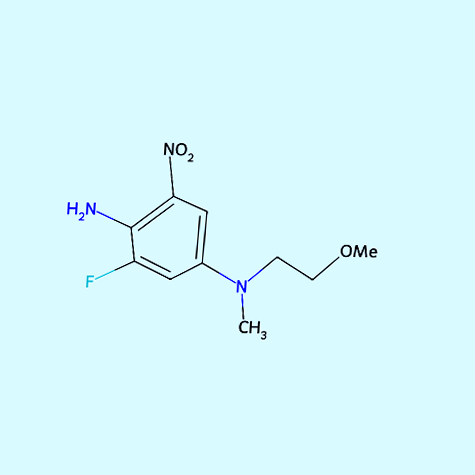 COCCN(C)c1cc(F)c(N)c([N+](=O)[O-])c1